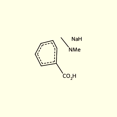 CNC.O=C(O)c1ccccc1.[NaH]